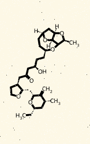 C=C1[C@H](C)C[C@H](CC)O[C@@H]1C[C@@H]1OCC[C@H]1CC(=O)C[C@H](O)CC[C@H]1CC[C@H]2C[C@H]3O[C@@H](C)C(O1)[C@H]3O2